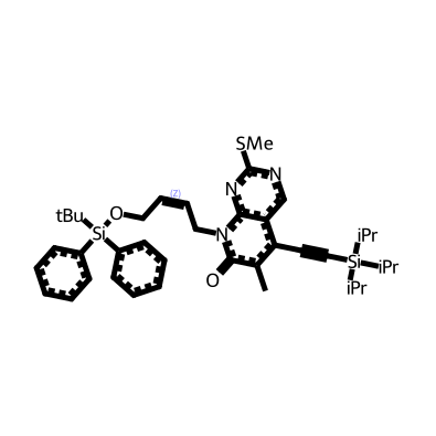 CSc1ncc2c(C#C[Si](C(C)C)(C(C)C)C(C)C)c(C)c(=O)n(C/C=C\CO[Si](c3ccccc3)(c3ccccc3)C(C)(C)C)c2n1